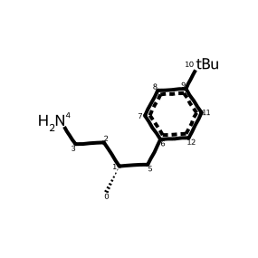 C[C@H](CCN)Cc1ccc(C(C)(C)C)cc1